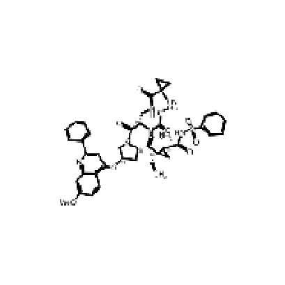 C=C[C@@]1(C(=O)[C@@H]2C[C@@H](Oc3cc(-c4ccccc4)nc4cc(OC)ccc34)CN2C(=O)[C@H](CNC(=O)C2(C#N)CC2)NC(=O)OC(C)(C)C)C[C@]1(N)C(=O)NS(=O)(=O)c1ccccc1